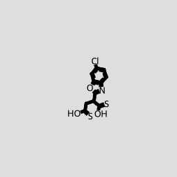 OC(=S)CC(C(O)=S)c1nc2ccc(Cl)cc2o1